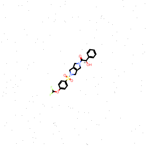 O=C([C@H](O)c1ccccc1)N1CC2=C(C1)CN(S(=O)(=O)c1ccc(OC(F)F)cc1)C2